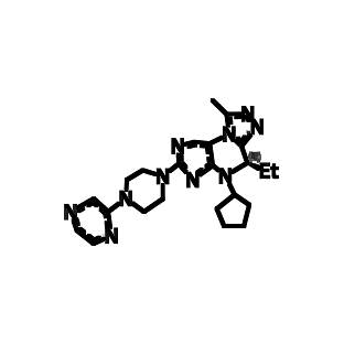 CC[C@@H]1c2nnc(C)n2-c2cnc(N3CCN(c4cnccn4)CC3)nc2N1C1CCCC1